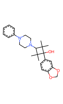 CC1(C)C(N2CCN(c3ccccc3)CC2)C(C)(C)C1(O)c1ccc2c(c1)OCO2